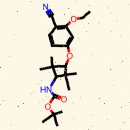 CCOc1cc(OC2C(C)(C)C(NC(=O)OC(C)(C)C)C2(C)C)ccc1C#N